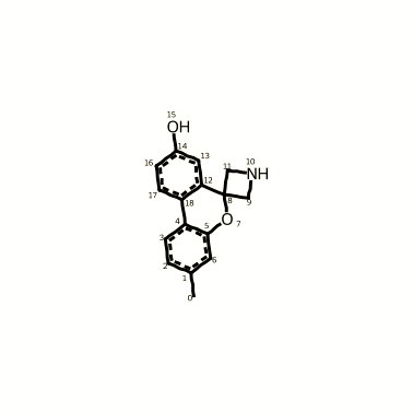 Cc1ccc2c(c1)OC1(CNC1)c1cc(O)ccc1-2